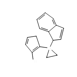 CC1=[C]([Zr]2([CH]3C=Cc4ccccc43)[CH2][CH2]2)CC=C1.Cl.Cl